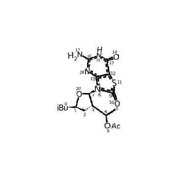 CC[C@H](C)[C@@H]1C[C@@H]([C@@H](C)OC(C)=O)[C@H](n2c(=O)sc3c(=O)[nH]c(N)nc32)O1